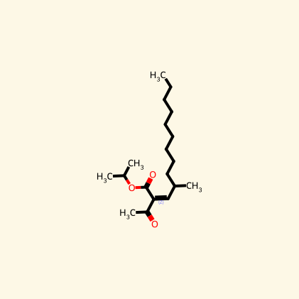 CCCCCCCCCC(C)/C=C(/C(C)=O)C(=O)OC(C)C